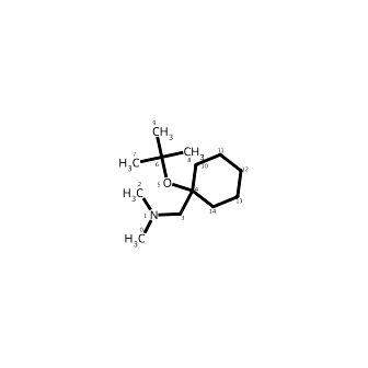 CN(C)CC1(OC(C)(C)C)CCCCC1